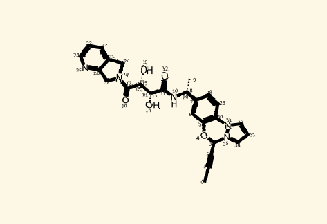 CC#CC1Oc2cc([C@@H](C)NC(=O)[C@H](O)[C@@H](O)C(=O)N3Cc4cccnc4C3)ccc2N2C=CCN12